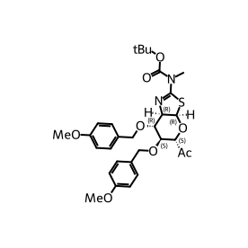 COc1ccc(CO[C@@H]2[C@H]3N=C(N(C)C(=O)OC(C)(C)C)S[C@H]3O[C@H](C(C)=O)[C@H]2OCc2ccc(OC)cc2)cc1